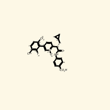 O=C(O)c1ccc(NC(=O)[C@@H](CC2CC2)c2ccc(-c3c(C(F)(F)F)ccc(Cl)c3F)c[n+]2[O-])cc1